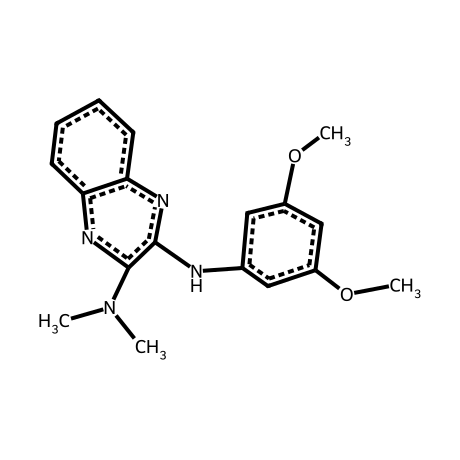 COc1cc(Nc2nc3ccccc3nc2N(C)C)cc(OC)c1